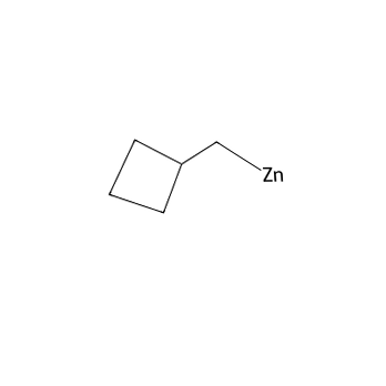 [Zn][CH2]C1CCC1